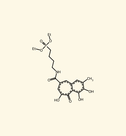 CCOP(=O)(CCCCNC(=O)c1cc(O)c(=O)c2c(O)c(O)c(C)cc2c1)OCC